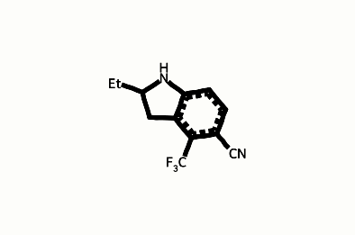 CCC1Cc2c(ccc(C#N)c2C(F)(F)F)N1